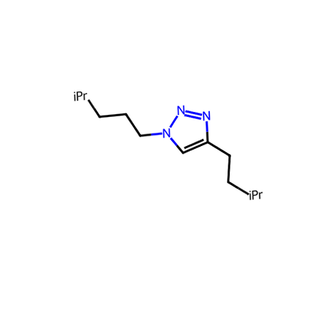 CC(C)CCCn1cc(CCC(C)C)nn1